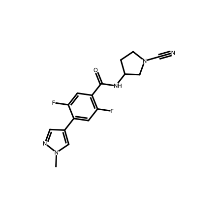 Cn1cc(-c2cc(F)c(C(=O)NC3CCN(C#N)C3)cc2F)cn1